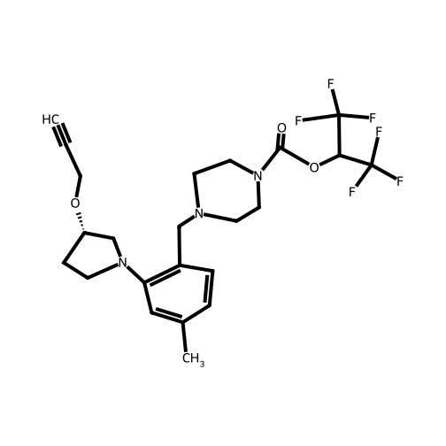 C#CCO[C@H]1CCN(c2cc(C)ccc2CN2CCN(C(=O)OC(C(F)(F)F)C(F)(F)F)CC2)C1